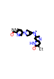 CCc1cc2ncc(N(C)C3C4CN(c5ccc(C(=O)NC)nc5)CC43)cc2[nH]c1=O